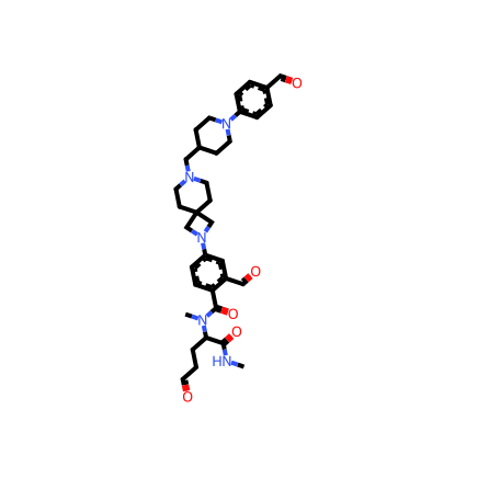 CNC(=O)C(CCC=O)N(C)C(=O)c1ccc(N2CC3(CCN(CC4CCN(c5ccc(C=O)cc5)CC4)CC3)C2)cc1C=O